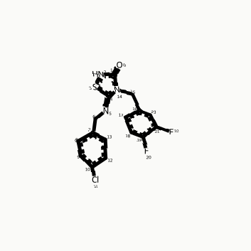 O=c1[nH]sc(=NCc2ccc(Cl)cc2)n1Cc1ccc(F)c(F)c1